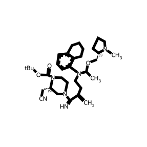 C=C(CCN(c1cccc2c1CCCC2)C(C)OC[C@@H]1CCCN1C)C(=N)N1CCN(C(=O)OC(C)(C)C)[C@@H](CC#N)C1